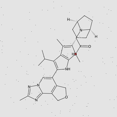 CNC(=O)CN1[C@@H]2CC[C@H]1C[C@H](c1sc3[nH]c(-c4cn5nc(C)nc5c5c4COC5)c(C(C)C)c3c1C)C2